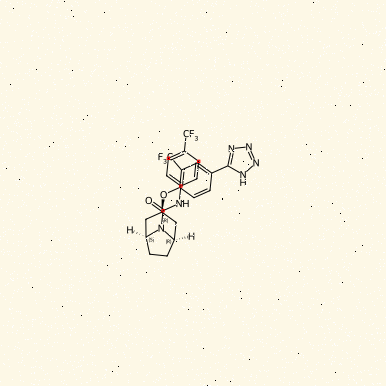 O=C(Nc1ccc(C(F)(F)F)cc1)N1[C@@H]2CC[C@H]1C[C@@H](Oc1ccc(-c3nnn[nH]3)cc1C(F)(F)F)C2